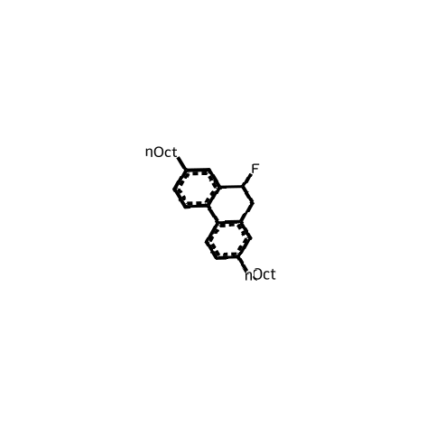 CCCCCCCCc1ccc2c(c1)CC(F)c1cc(CCCCCCCC)ccc1-2